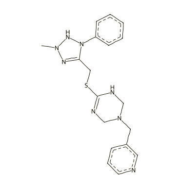 CN1N=C(CSC2=NCN(Cc3cccnc3)CN2)N(c2ccccc2)N1